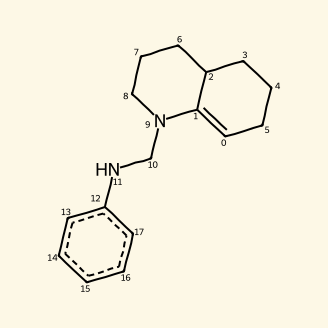 C1=C2C(CCC1)CCCN2CNc1ccccc1